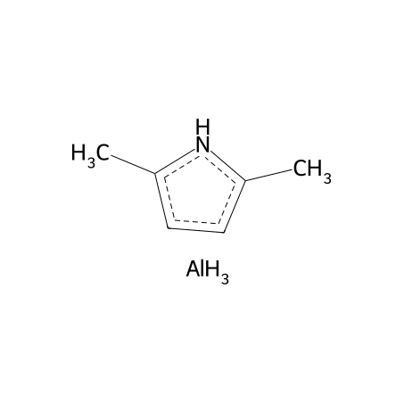 Cc1ccc(C)[nH]1.[AlH3]